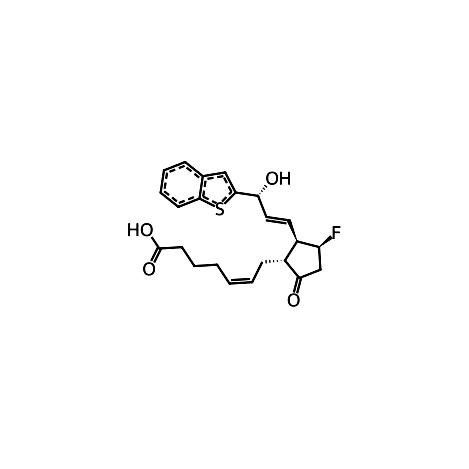 O=C(O)CCC/C=C\C[C@H]1C(=O)C[C@H](F)[C@@H]1/C=C/[C@@H](O)c1cc2ccccc2s1